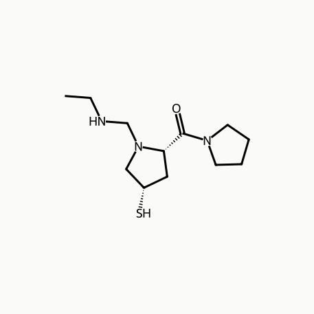 CCNCN1C[C@@H](S)C[C@H]1C(=O)N1CCCC1